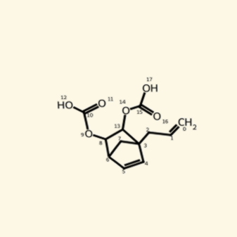 C=CCC12C=CC(C1)C(OC(=O)O)C2OC(=O)O